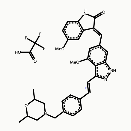 COc1ccc2c(c1)/C(=C\c1cc(OC)c3c(/C=C/c4ccc(CN5CC(C)OC(C)C5)cc4)n[nH]c3c1)C(=O)N2.O=C(O)C(F)(F)F